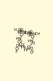 C#Cc1cc(CNC(=O)/C=C/c2ccc(C(F)(F)F)nc2OC2CCOC2)cc(F)c1NS(C)(=O)=O.C#Cc1cc(CNC(=O)/C=C\c2ccc(C(F)(F)F)nc2Oc2ccc(F)cc2)cc(F)c1NS(C)(=O)=O